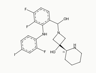 OC(c1ccc(F)c(F)c1Nc1ccc(I)cc1F)N1CC(O)([C@@H]2CCCCN2)C1